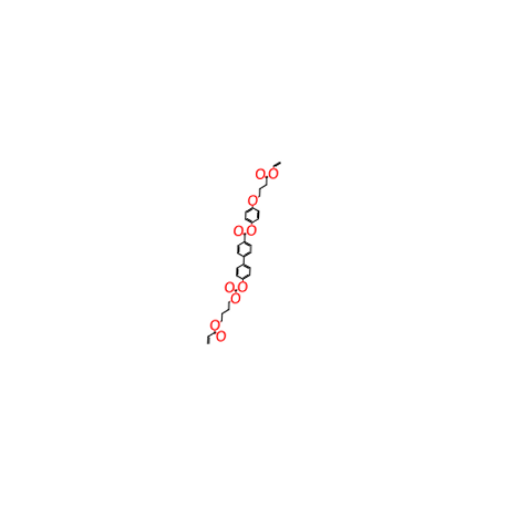 C=COC(=O)CCCOc1ccc(OC(=O)c2ccc(-c3ccc(OC(=O)OCCCCOC(=O)C=C)cc3)cc2)cc1